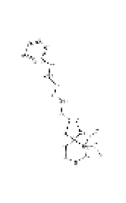 COC1(CCCNCCNCc2ccccc2)CCCC[Si]1(OC)OC